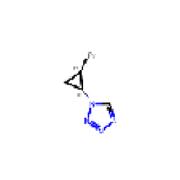 CC(C)[C@@H]1C[C@H]1n1cnnn1